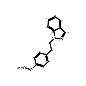 COOc1ccc(CCn2ncc3ccccc32)cc1